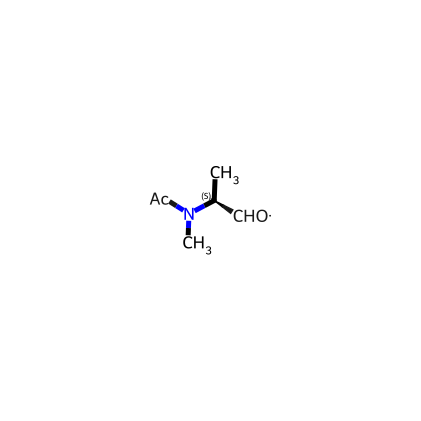 CC(=O)N(C)[C@@H](C)[C]=O